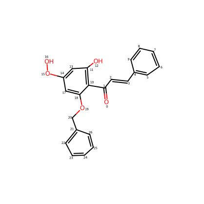 O=C(C=Cc1ccccc1)c1c(O)cc(OO)cc1OCc1ccccc1